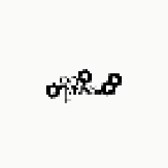 O=C(N/C(=N/CCSCc1ccc2ccccc2c1)Oc1ccccc1)c1ccccc1